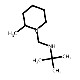 CC1CCCCN1CNC(C)(C)C